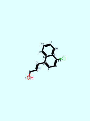 OC/C=C/c1ccc(Cl)c2ccccc12